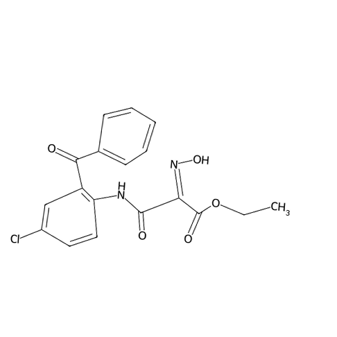 CCOC(=O)C(=NO)C(=O)Nc1ccc(Cl)cc1C(=O)c1ccccc1